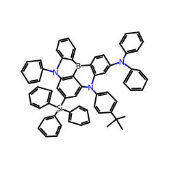 CC(C)(C)c1ccc(N2c3cc(N(c4ccccc4)c4ccccc4)ccc3B3c4ccccc4N(c4ccccc4)c4cc([Si](c5ccccc5)(c5ccccc5)c5ccccc5)cc2c43)cc1